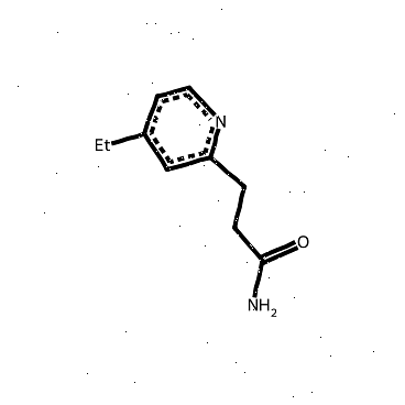 CCc1ccnc(CCC(N)=O)c1